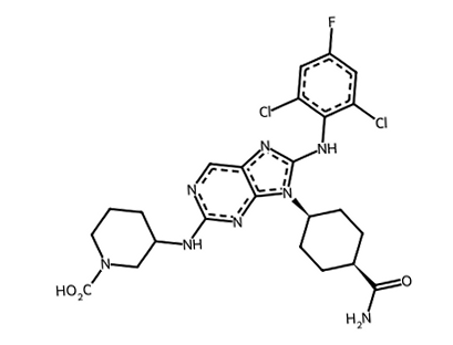 NC(=O)[C@H]1CC[C@@H](n2c(Nc3c(Cl)cc(F)cc3Cl)nc3cnc(NC4CCCN(C(=O)O)C4)nc32)CC1